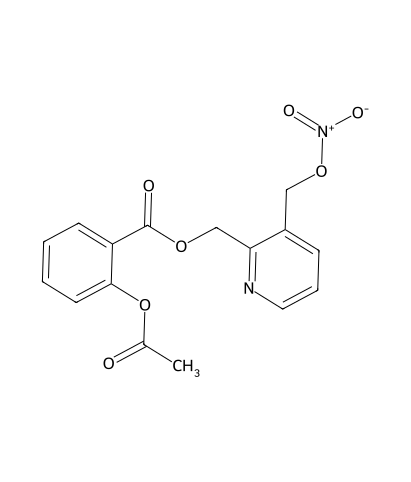 CC(=O)Oc1ccccc1C(=O)OCc1ncccc1CO[N+](=O)[O-]